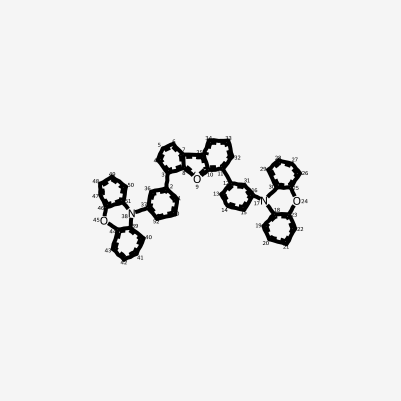 c1cc(-c2cccc3c2oc2c(-c4cccc(N5c6ccccc6Oc6ccccc65)c4)cccc23)cc(N2c3ccccc3Oc3ccccc32)c1